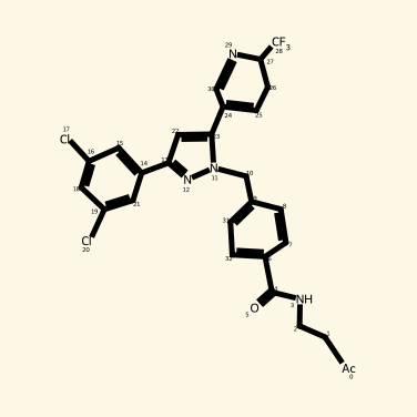 CC(=O)CCNC(=O)c1ccc(Cn2nc(-c3cc(Cl)cc(Cl)c3)cc2C2=CCC(C(F)(F)F)N=C2)cc1